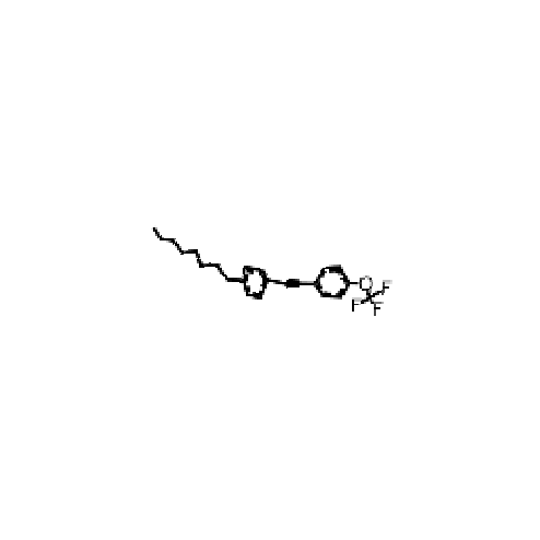 CCCCCCCCc1ccc(C#Cc2ccc(OC(F)(F)F)cc2)cc1